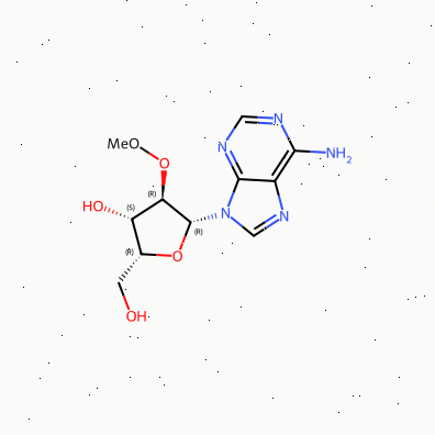 COO[C@@H]1[C@@H](O)[C@@H](CO)O[C@H]1n1cnc2c(N)ncnc21